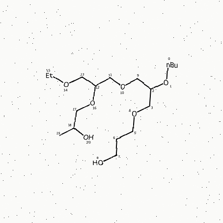 CCCCOC(COCCCO)COCC(COCC)OCC(C)O